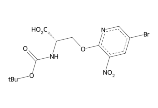 CC(C)(C)OC(=O)N[C@@H](COc1ncc(Br)cc1[N+](=O)[O-])C(=O)O